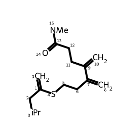 C=C(CC(C)C)SCCC(=C)C(=C)CCC(=O)NC